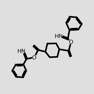 C=C(OC(=N)c1ccccc1)C1CCC(C(=C)OC(=N)c2ccccc2)CC1